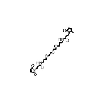 CC1C=CC(=O)N1CCC(=O)NCCCOCCOCCOCCCNC(=O)CCN1C(=O)C=CC1=O